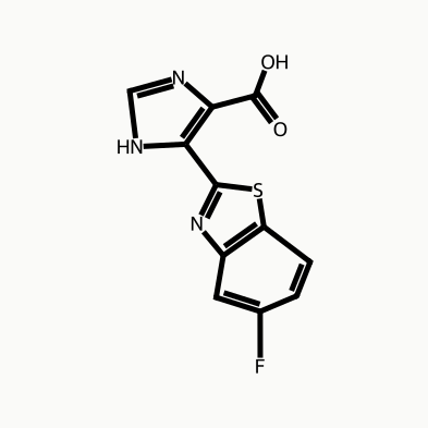 O=C(O)c1nc[nH]c1-c1nc2cc(F)ccc2s1